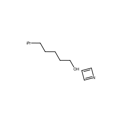 C1=CN=C1.CC(C)CCCCCO